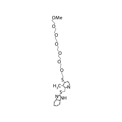 COCCOCCOCCOCCOCCOCCOCCSc1ccnc(CSc2nc3ccccc3[nH]2)c1C